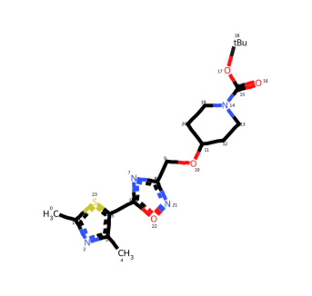 Cc1nc(C)c(-c2nc(COC3CCN(C(=O)OC(C)(C)C)CC3)no2)s1